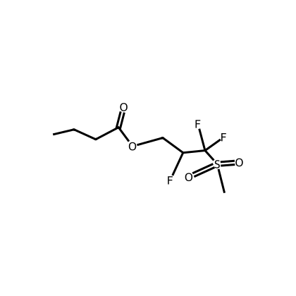 CCCC(=O)OCC(F)C(F)(F)S(C)(=O)=O